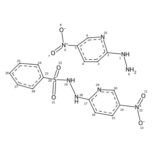 NNc1ccc([N+](=O)[O-])cn1.O=[N+]([O-])c1ccc(NNS(=O)(=O)c2ccccc2)nc1